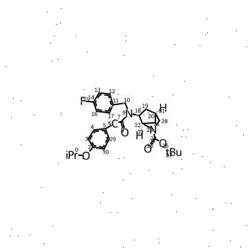 CC(C)Oc1ccc(CC(=O)N(Cc2ccc(F)cc2)[C@H]2C[C@@H]3C[C@H]2N(C(=O)OC(C)(C)C)C3)cc1